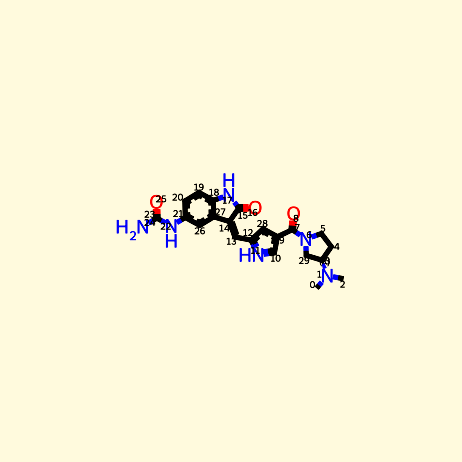 CN(C)[C@@H]1CCN(C(=O)c2c[nH]c(C=C3C(=O)Nc4ccc(NC(N)=O)cc43)c2)C1